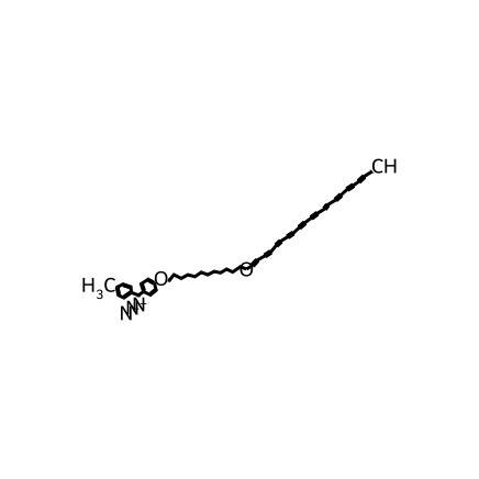 C#CC#CC#CC#CC#CC#CC#CC#CC#CC#CC#COCCCCCCCCCCCCOc1ccc(C(N=[N+]=[N-])c2ccc(C)cc2)cc1